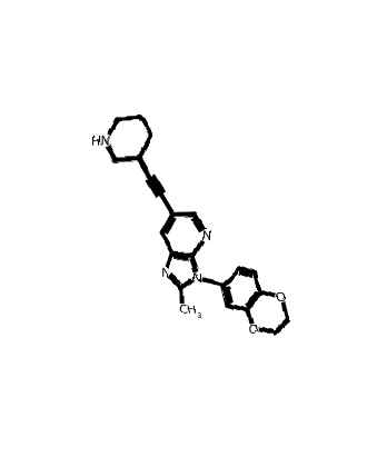 Cc1nc2cc(C#CC3CCCNC3)cnc2n1-c1ccc2c(c1)OCCO2